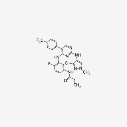 C=CC(=O)Nc1ccc(F)c(Nc2nc(Nc3cn(C)nc3Cl)ncc2-c2ccc(C(F)(F)F)cc2)c1